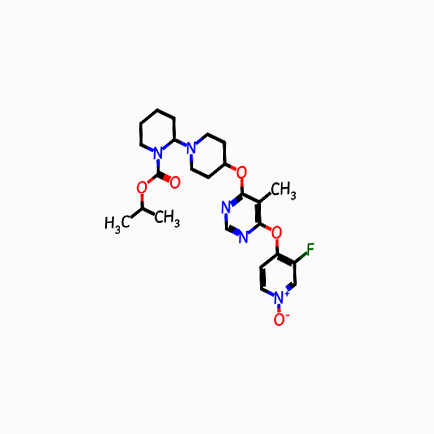 Cc1c(Oc2cc[n+]([O-])cc2F)ncnc1OC1CCN(C2CCCCN2C(=O)OC(C)C)CC1